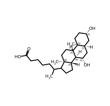 CC(CCCCC(=O)O)C1CC[C@H]2[C@@H]3[C@@H](O)C[C@@H]4C[C@@H](O)CC[C@]4(C)[C@H]3CC[C@]12C